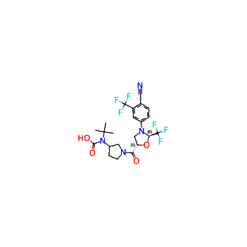 CC(C)(C)N(C(=O)O)C1CCN(C(=O)[C@@H]2CN(c3ccc(C#N)c(C(F)(F)F)c3)[C@@H](C(F)(F)F)O2)C1